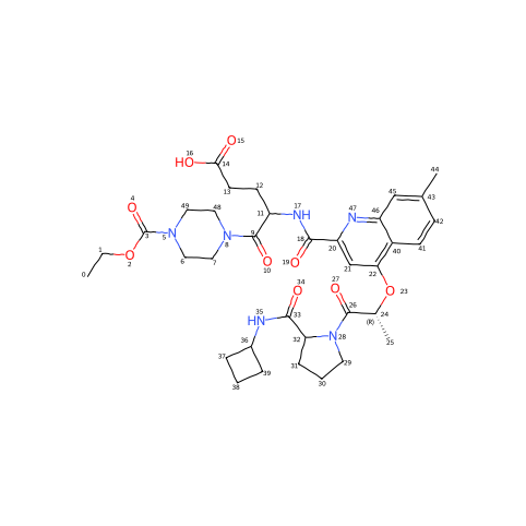 CCOC(=O)N1CCN(C(=O)C(CCC(=O)O)NC(=O)c2cc(O[C@H](C)C(=O)N3CCCC3C(=O)NC3CCC3)c3ccc(C)cc3n2)CC1